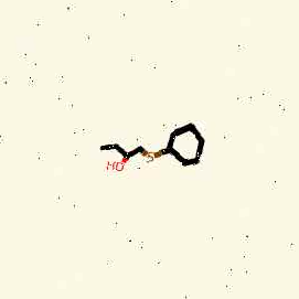 CCC(O)CSC1CCCCC1